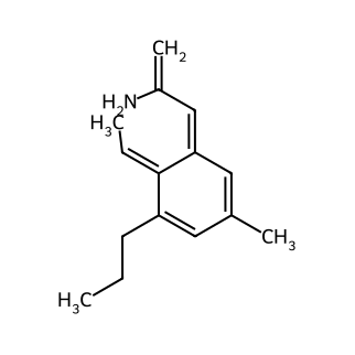 C=C(N)/C=c1/cc(C)cc(CCC)/c1=C/C